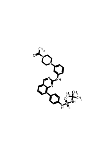 CC(=O)N1CCN(c2cccc(Nc3ncc4cccc(-c5ccc(NS(=O)(=O)NC(C)(C)C)cc5)c4n3)c2)CC1